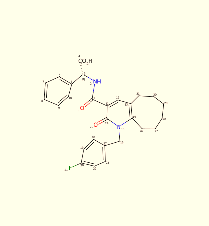 O=C(N[C@@H](C(=O)O)c1ccccc1)c1cc2c(n(Cc3ccc(F)cc3)c1=O)CCCCCC2